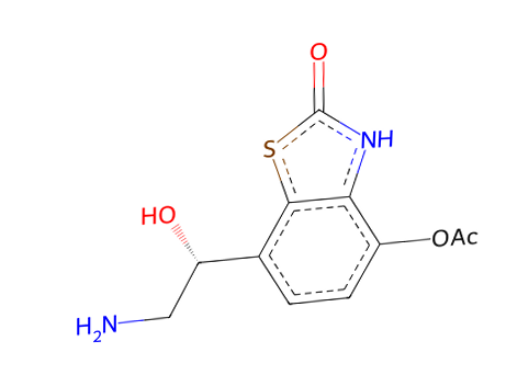 CC(=O)Oc1ccc([C@@H](O)CN)c2sc(=O)[nH]c12